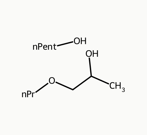 CCCCCO.CCCOCC(C)O